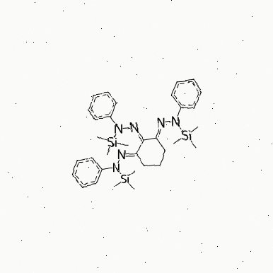 C[Si](C)(C)N(N=C1CCCC(=NN(c2ccccc2)[Si](C)(C)C)C1=NN(c1ccccc1)[Si](C)(C)C)c1ccccc1